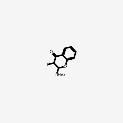 CCCCCCC1Oc2ccccc2C(=O)C1I